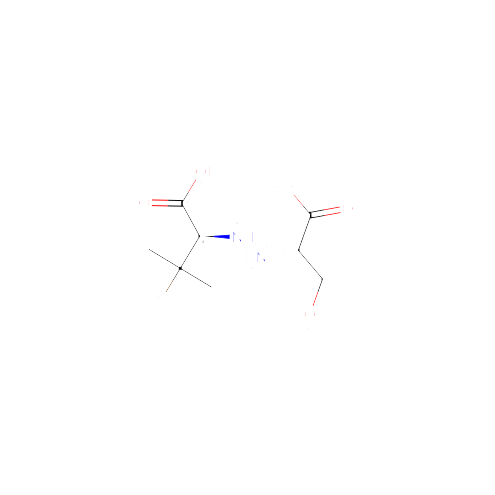 CC(C)(S)[C@H](N)C(=O)O.N[C@@H](CO)C(=O)O